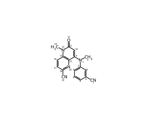 CN(c1cccc(C#N)c1)c1cc(=O)n(C)c2ccc(C#N)nc12